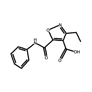 CCc1noc(C(=O)Nc2ccccc2)c1C(=O)O